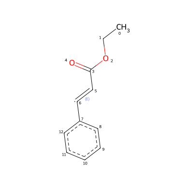 CCOC(=O)/C=[C]/c1ccccc1